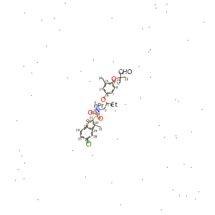 CCCN(CC(CC)Oc1ccc(OC(C)(C)C=O)c(C)c1)S(=O)(=O)c1sc2ccc(Cl)cc2c1C